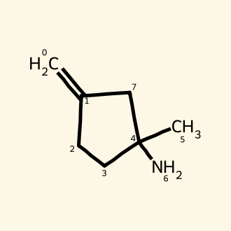 C=C1CCC(C)(N)C1